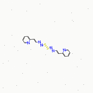 C(=Cc1ccccn1)N=NSSN=NC=Cc1ccccn1